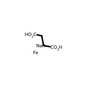 O=C(O)CCC(=O)O.[Fe].[NaH]